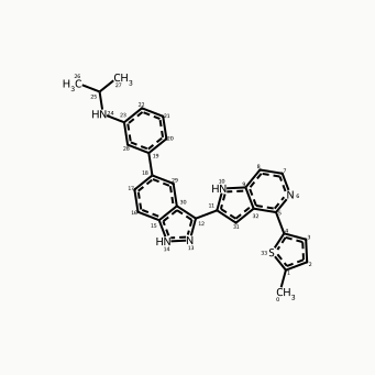 Cc1ccc(-c2nccc3[nH]c(-c4n[nH]c5ccc(-c6cccc(NC(C)C)c6)cc45)cc23)s1